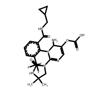 CC1(C)CN(C2=NC=C(OC(=O)O)C(N)N2c2c(C(=O)NCC3CC3)cccc2C(F)(F)F)C(=O)N1